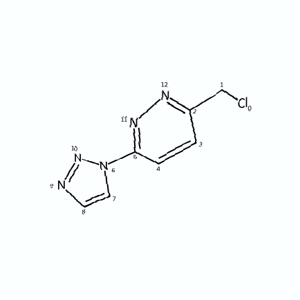 ClCc1ccc(-n2ccnn2)nn1